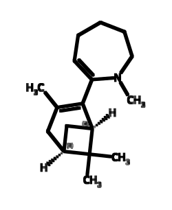 CC1=C(C2=CCCCCN2C)[C@@H]2C[C@H](C1)C2(C)C